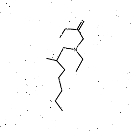 C=C(CC)CN(CC)CC(C)CCCCC